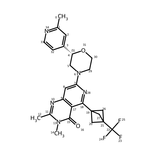 Cc1cc([C@H]2CN(c3cc4nc(C)n(C)c(=O)c4c(C45CC(C(F)(F)F)(C4)C5)n3)CCO2)ccn1